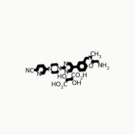 CN(Cc1cccc(-c2cnc(N3CCN(c4ccc(C#N)nc4)CC3)nc2)c1)C(=O)CN.O=C(O)C(O)C(O)C(=O)O